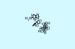 CC#CC1(F)[C@@H](O)[C@@H](COP(=O)(O)OP(=O)(O)OP(=O)(O)O)O[C@H]1n1cnc2cnc(N)nc21